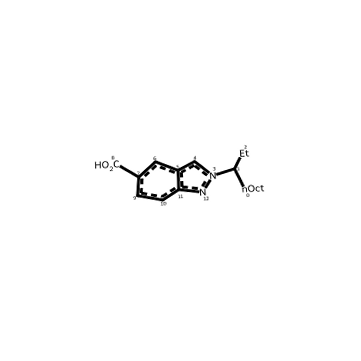 CCCCCCCCC(CC)n1cc2cc(C(=O)O)ccc2n1